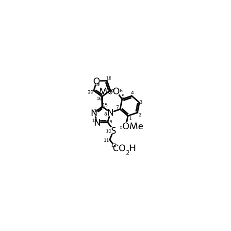 COc1cccc(OC)c1-n1c(SCC(=O)O)nnc1-c1ccoc1